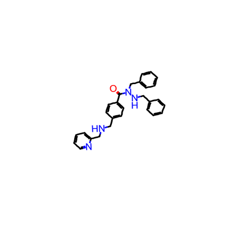 O=C(c1ccc(CNCc2ccccn2)cc1)N(Cc1ccccc1)NCc1ccccc1